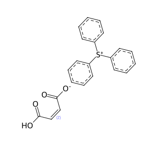 O=C([O-])/C=C\C(=O)O.c1ccc([S+](c2ccccc2)c2ccccc2)cc1